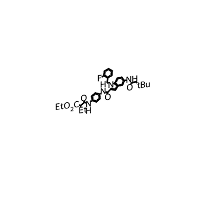 CCOC(=O)C(CC)C(=O)Nc1ccc(NC(=O)c2cc3cc(NC(=O)CC(C)(C)C)ccc3n2Cc2ccccc2F)cc1